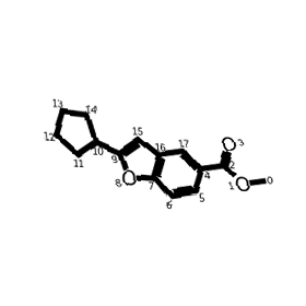 COC(=O)c1ccc2oc(C3CCCC3)cc2c1